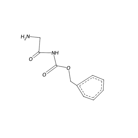 NCC(=O)NC(=O)OCc1ccccc1